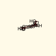 O=C1CCC(N2C(=O)c3ccc(OCCOCCOCCOC4CCN(C[C@@H](CO)c5nc(N6CCNCC6)c6cc(Cl)c(-c7cc(O)cc8ccccc78)c(F)c6n5)CC4)cc3C2=O)C(=O)N1